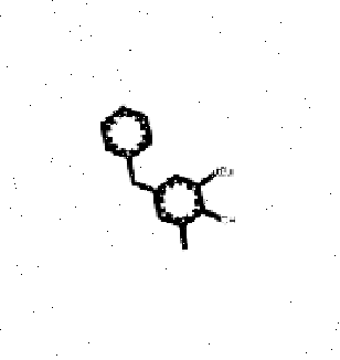 Cc1cc(Cc2ccccc2)cc(C(C)(C)C)c1O